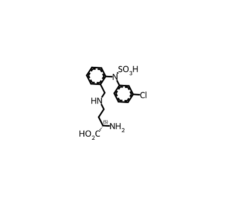 N[C@@H](CCNCc1ccccc1N(c1cccc(Cl)c1)S(=O)(=O)O)C(=O)O